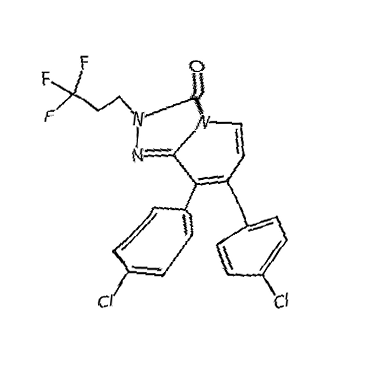 O=c1n(CCC(F)(F)F)nc2c(-c3ccc(Cl)cc3)c(-c3ccc(Cl)cc3)ccn12